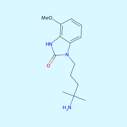 COc1cccc2c1[nH]c(=O)n2CCCC(C)(C)N